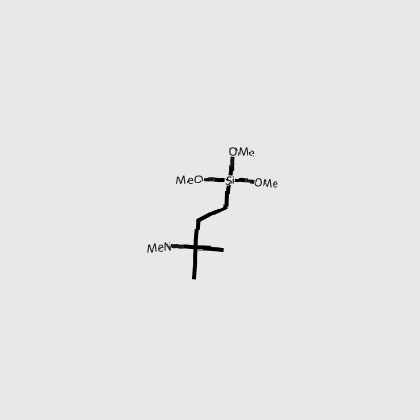 CNC(C)(C)CC[Si](OC)(OC)OC